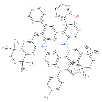 CCCCc1ccc(C(C2=CCC=C2)c2ccc3c(c2)B2c4c(cc(-c5ccccc5)cc4N3c3cc4c(cc3C)C(C)(C)CCC4(C)C)-c3c(ccc4oc5ccccc5c34)N2c2ccc3c(c2)C(C)(C)CCC3(C)C)cc1